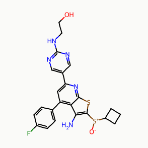 Nc1c([S+]([O-])C2CCC2)sc2nc(-c3cnc(NCCO)nc3)cc(-c3ccc(F)cc3)c12